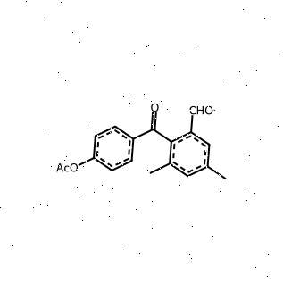 CC(=O)Oc1ccc(C(=O)c2c(C)cc(C)cc2[C]=O)cc1